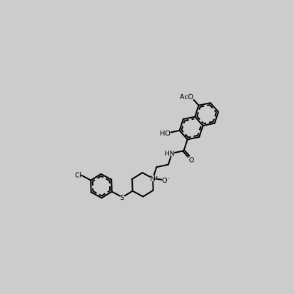 CC(=O)Oc1cccc2cc(C(=O)NCC[N+]3([O-])CCC(Sc4ccc(Cl)cc4)CC3)c(O)cc12